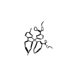 CCOC(=O)c1cccc(C2(c3cccc(C(=O)OCC)c3)c3cc(C)ccc3-c3ccc(C)cc32)c1